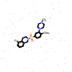 COc1ccc(S(=O)(=O)N2CCc3c(Br)cccc3C2)cc1N1CCN(C)CC1